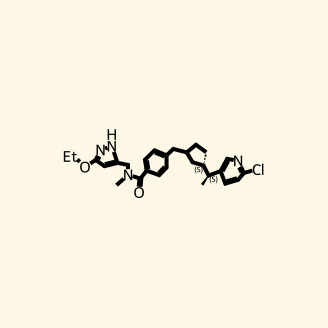 CCOc1cc(CN(C)C(=O)c2ccc(CC3CC[C@H]([C@H](C)c4ccc(Cl)nc4)C3)cc2)[nH]n1